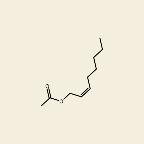 CCCCC/C=C\COC(C)=O